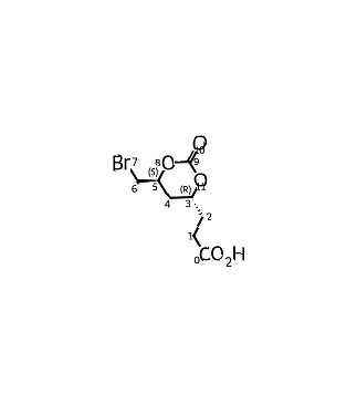 O=C(O)CC[C@@H]1C[C@@H](CBr)OC(=O)O1